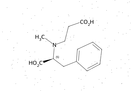 CN(CCC(=O)O)[C@@H](Cc1ccccc1)C(=O)O